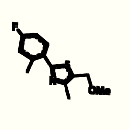 COCc1sc(-c2ccc(F)cc2C)nc1C